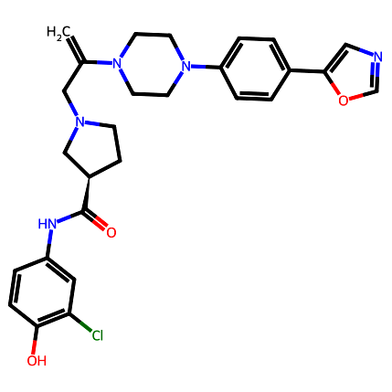 C=C(CN1CC[C@@H](C(=O)Nc2ccc(O)c(Cl)c2)C1)N1CCN(c2ccc(-c3cnco3)cc2)CC1